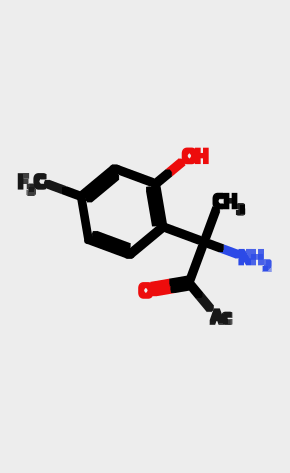 CC(=O)C(=O)C(C)(N)c1ccc(C(F)(F)F)cc1O